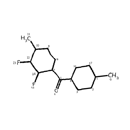 CC1CCC(C(=O)C2CCC(C)C(F)C2F)CC1